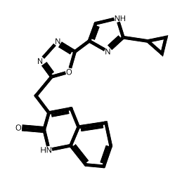 O=c1[nH]c2ccccc2cc1Cc1nnc(-c2c[nH]c(C3CC3)n2)o1